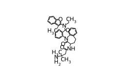 CCN(C(=O)c1ccccc1N1C(=O)C(NC(=O)CC(C)(C)N)CCc2ccccc21)c1oc2ccccc2c1C